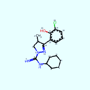 CC1CN(C(=N)NC2CCCCC2)N=C1c1cccc(Cl)c1O